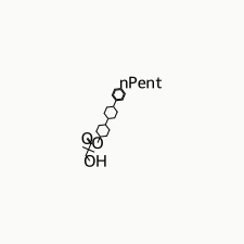 CCCCCc1ccc(C2CCC(C3CCC(OC(=O)C(C)(C)CO)CC3)CC2)cc1